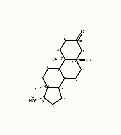 C[C@]12CCC3C(CC[C@H]4CC(=O)CC[C@]34C)C1CC[C@@H]2O